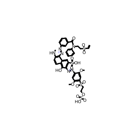 C=CS(=O)(=O)CCN(C(=O)c1cccc(/N=N/c2c(NC)ccc3c(O)c(/N=N/c4cc(OC)c(S(=O)(=O)CCOS(=O)(=O)O)cc4OC)c(S(=O)(=O)O)cc23)c1)c1ccccc1